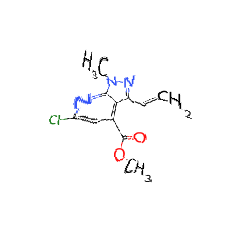 C=Cc1nn(C)c2nc(Cl)cc(C(=O)OC)c12